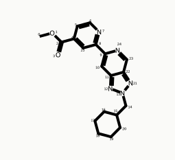 COC(=O)c1ccnc(-c2cc3nn(CC4CCCCC4)nc3cn2)c1